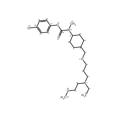 CCN(CCCOCC1CCC(N(C)C(=O)Oc2ccc(Cl)cc2)CC1)CCOC